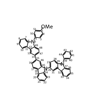 COc1ccc(-n2c3ccccc3c3cc(-c4ccc5c6ccccc6n(-c6ccc7c(c6)c6ccccc6n7-c6ccccc6)c5c4)ccc32)cc1